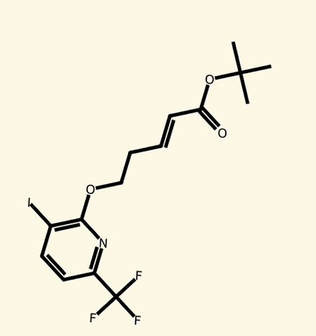 CC(C)(C)OC(=O)C=CCCOc1nc(C(F)(F)F)ccc1I